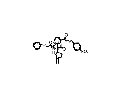 O=C(COc1ccccc1)N[C@]1([C@H]2CCNC2)C(=O)N2C(C(=O)OCc3ccc([N+](=O)[O-])cc3)=CCS[C@H]21